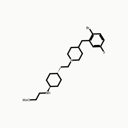 COCCN[C@H]1CC[C@H](CCN2CCC(Cc3cc(F)ccc3Br)CC2)CC1